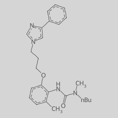 CCCCN(C)C(=O)Nc1c(C)cccc1OCCCn1cnc(-c2ccccc2)c1